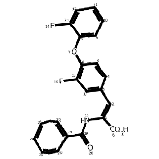 O=C(O)C(=Cc1ccc(Oc2ccccc2F)c(F)c1)NC(=O)c1ccccc1